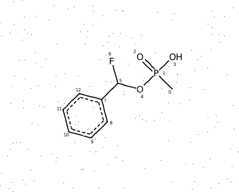 CP(=O)(O)OC(F)c1ccccc1